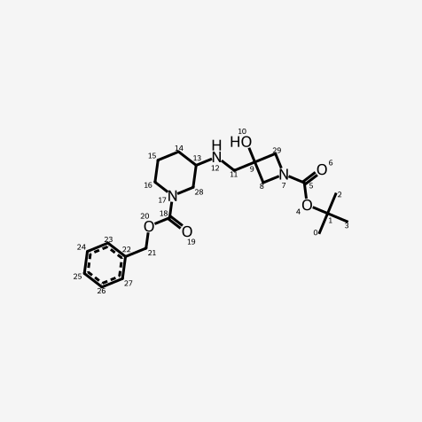 CC(C)(C)OC(=O)N1CC(O)(CNC2CCCN(C(=O)OCc3ccccc3)C2)C1